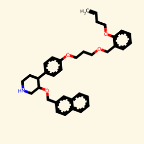 C=CCCOc1ccccc1COCCCOc1ccc(C2CCNCC2OCc2ccc3ccccc3c2)cc1